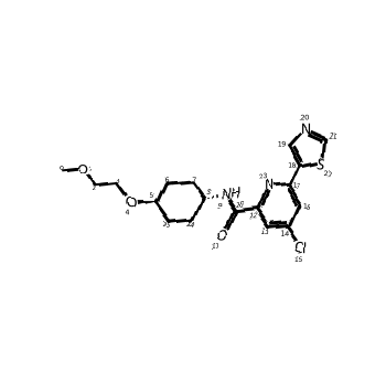 COCCO[C@H]1CC[C@H](NC(=O)c2cc(Cl)cc(-c3cncs3)n2)CC1